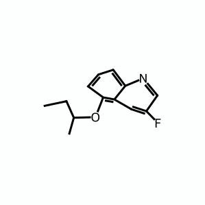 CCC(C)Oc1cccc2ncc(F)cc12